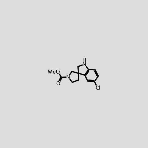 COC(=O)N1CCC2(CNc3ccc(Cl)cc32)C1